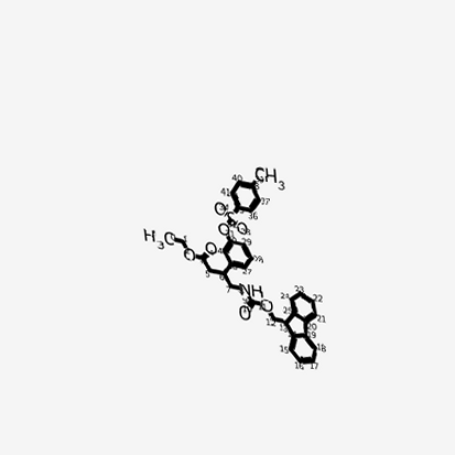 CCOC(=O)CC(CNC(=O)OCC1c2ccccc2-c2ccccc21)c1cccc(OS(=O)(=O)c2ccc(C)cc2)c1